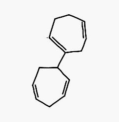 [C]1=C(C2C=CCC=CC2)CC=CCC1